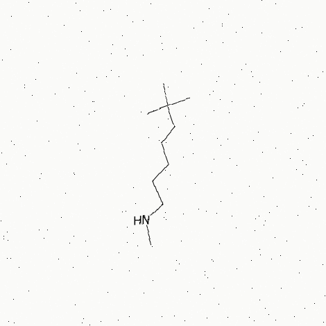 CNCCCCCC(C)(C)C